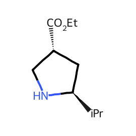 CCOC(=O)[C@H]1CN[C@H](C(C)C)C1